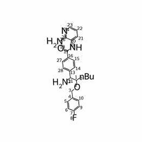 CCCCC(OCc1ccc(F)cc1)C(N)c1ccc(C(=O)Nc2cccnc2N)cc1